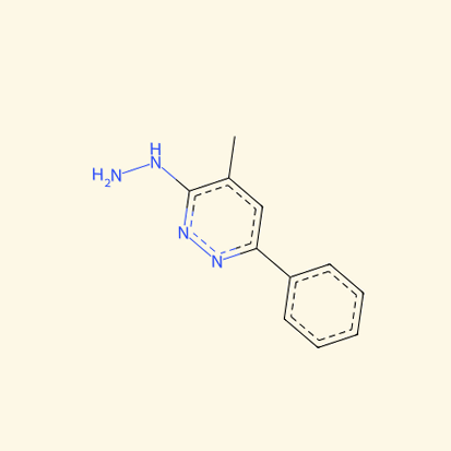 Cc1cc(-c2ccccc2)nnc1NN